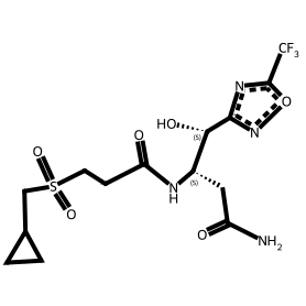 NC(=O)C[C@H](NC(=O)[CH]CS(=O)(=O)CC1CC1)[C@H](O)c1noc(C(F)(F)F)n1